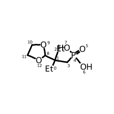 CCC(CC)(CP(=O)(O)O)C1OCCO1